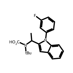 CC(c1cc2ccccc2n1-c1cccc(F)c1)N(C(=O)O)C(C)(C)C